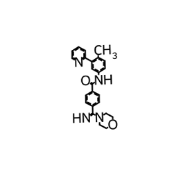 Cc1ccc(NC(=O)c2ccc(C(=N)N3CCOCC3)cc2)cc1-c1ccccn1